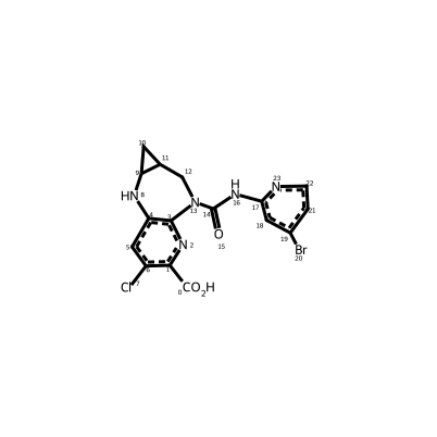 O=C(O)c1nc2c(cc1Cl)NC1CC1CN2C(=O)Nc1cc(Br)ccn1